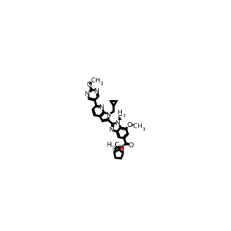 COc1ncc(-c2ccc3cc(-c4nc5cc(C(=O)N6CC7CCC6[C@@H]7C)cc(OC)c5n4C)n(CC4CC4)c3n2)cn1